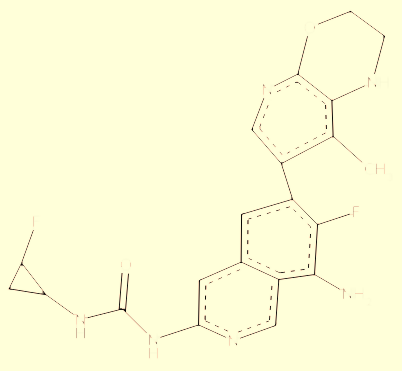 Cc1c(-c2cc3cc(NC(=O)NC4CC4F)ncc3c(N)c2F)cnc2c1NCCO2